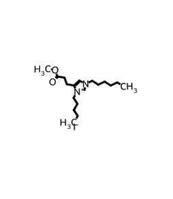 CCCCCCn1cc(CCC(=O)OC)[n+](CCCCC)c1.[I-]